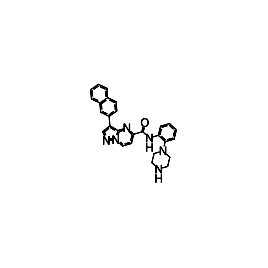 O=C(Nc1ccccc1N1CCNCC1)c1ccn2ncc(-c3ccc4ccccc4c3)c2n1